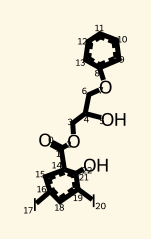 O=C(OCC(O)COc1ccccc1)c1cc(I)cc(I)c1O